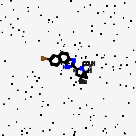 CC(C)(C)C12C[C@@H](c3nc4ccc5cc(Br)ccc5c4[nH]3)N(C(=O)O)[C@@H]1C2